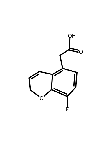 O=C(O)Cc1ccc(F)c2c1C=CCO2